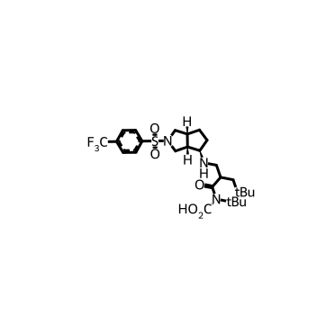 CC(C)(C)CC(CN[C@@H]1CC[C@H]2CN(S(=O)(=O)c3ccc(C(F)(F)F)cc3)C[C@H]21)C(=O)N(C(=O)O)C(C)(C)C